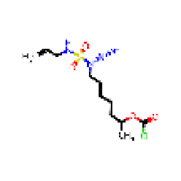 C=CCNS(=O)(=O)[N+](CCCCCC(C)OC(=O)Cl)=[N+]=[N-]